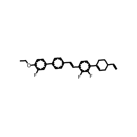 C=CC1CC=C(c2ccc(/C=C/c3ccc(-c4ccc(OCC)c(F)c4)cc3)c(F)c2F)CC1